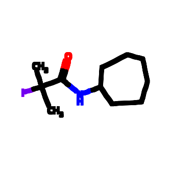 CC(C)(I)C(=O)NC1CCCCCC1